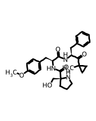 COc1ccc(C[C@H](NC(=O)[C@@]2(CO)CCCN2)C(=O)N[C@@H](Cc2ccccc2)C(=O)C2(C)CC2)cc1